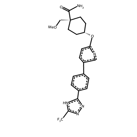 COC[C@]1(C(N)=O)CC[C@H](Oc2ccc(-c3ccc(-c4nnc(C(F)(F)F)[nH]4)cc3)cn2)CC1